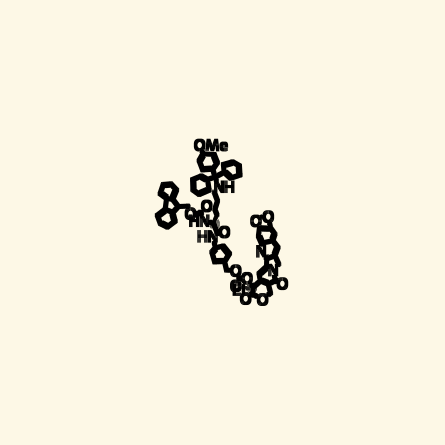 CC[C@@]1(OC(=O)OCc2ccc(NC(=O)[C@H](CCCCNC(c3ccccc3)(c3ccccc3)c3ccc(OC)cc3)NC(=O)OCC3c4ccccc4-c4ccccc43)cc2)C(=O)OCc2c1cc1n(c2=O)Cc2cc3cc4c(cc3nc2-1)OCO4